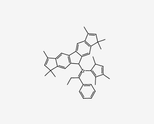 CC[C](c1ccccc1)=[Zr]([C]1=C(C)C(C)=CC1C)[CH]1c2cc3c(cc2-c2cc4c(cc21)C(C)(C)C=C4C)C(C)=CC3(C)C